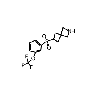 O=S(=O)(c1cccc(OC(F)(F)F)c1)C1CC2(CNC2)C1